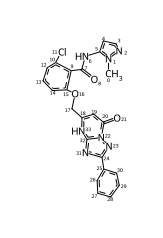 Cn1nccc1NC(=O)c1c(Cl)cccc1OCc1cc(=O)n2nc(-c3ccccc3)nc2[nH]1